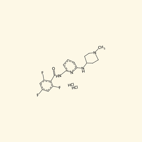 CN1CCC(Nc2cccc(NC(=O)c3c(F)cc(F)cc3F)n2)CC1.Cl.Cl